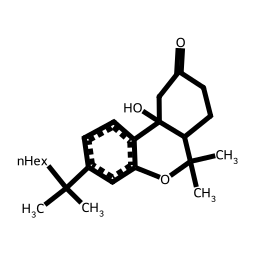 CCCCCCC(C)(C)c1ccc2c(c1)OC(C)(C)C1CCC(=O)CC21O